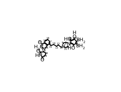 Bc1c(B)c(O)c(N2CCN(CCCCCc3cccc(C=O)c3CN(C)C3CCC(=O)NC3=O)CC2)c(O)c1O